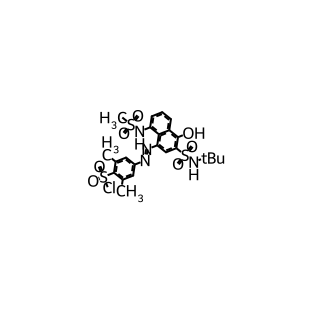 Cc1cc(N=Nc2cc(S(=O)(=O)NC(C)(C)C)c(O)c3cccc(NS(C)(=O)=O)c23)cc(C)c1S(=O)(=O)Cl